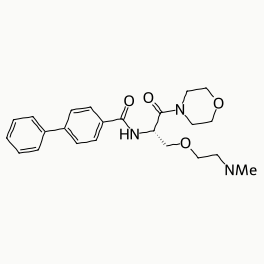 CNCCOC[C@H](NC(=O)c1ccc(-c2ccccc2)cc1)C(=O)N1CCOCC1